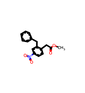 COC(=O)Cc1ccc([N+](=O)[O-])cc1Cc1ccccc1